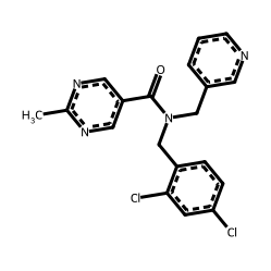 Cc1ncc(C(=O)N(Cc2cccnc2)Cc2ccc(Cl)cc2Cl)cn1